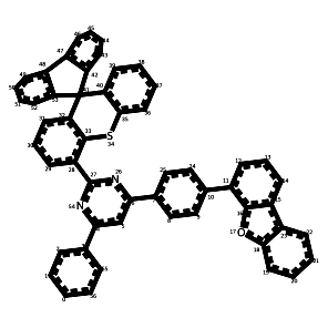 c1ccc(-c2cc(-c3ccc(-c4cccc5c4oc4ccccc45)cc3)nc(-c3cccc4c3Sc3ccccc3C43c4ccccc4-c4ccccc43)n2)cc1